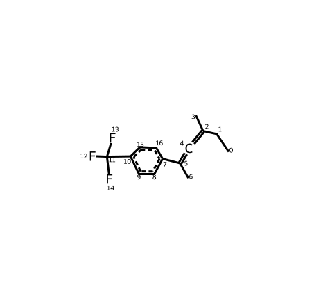 CCC(C)=C=C(C)c1ccc(C(F)(F)F)cc1